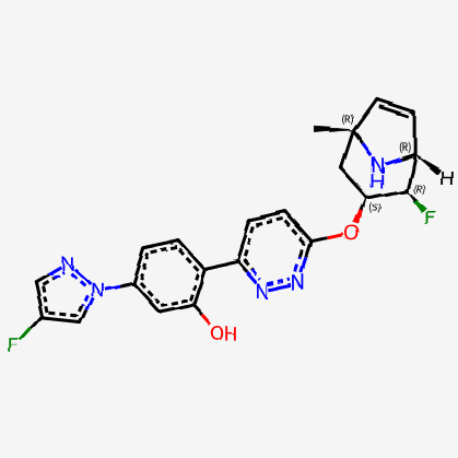 C[C@@]12C=C[C@@H](N1)[C@@H](F)[C@@H](Oc1ccc(-c3ccc(-n4cc(F)cn4)cc3O)nn1)C2